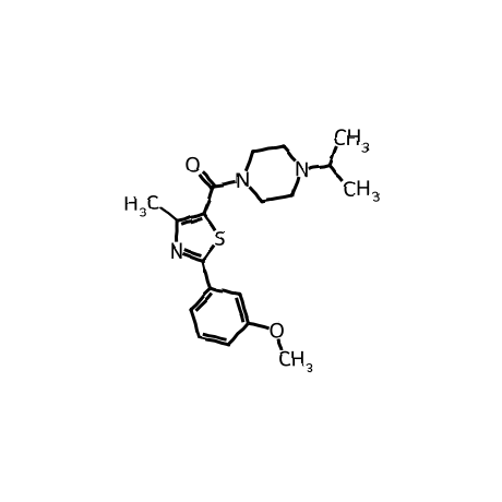 COc1cccc(-c2nc(C)c(C(=O)N3CCN(C(C)C)CC3)s2)c1